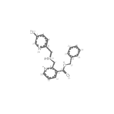 CCc1ccc(CNCc2ncccc2C(=O)OCc2ccccc2)nc1